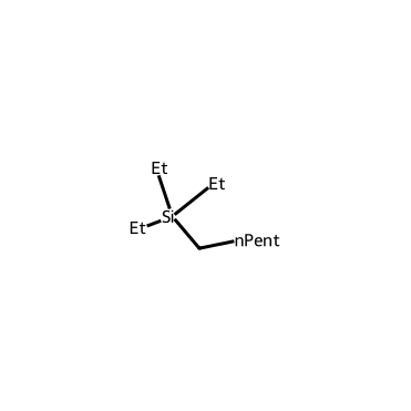 [CH2]CCCCC[Si](CC)(CC)CC